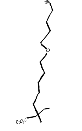 CCOC(=O)C(C)(C)CCCCCOCCCCC(C)(C)C